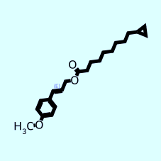 COc1ccc(/C=C/COC(=O)CCCCCCCCC2CC2)cc1